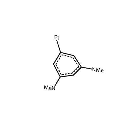 CCc1cc(NC)cc(NC)c1